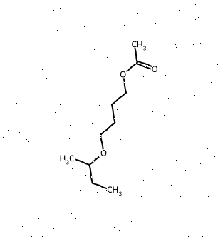 CCC(C)OCCCCOC(C)=O